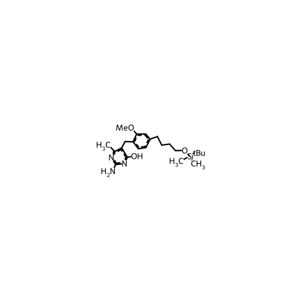 COc1cc(CCCCO[Si](C)(C)C(C)(C)C)ccc1Cc1c(C)nc(N)nc1O